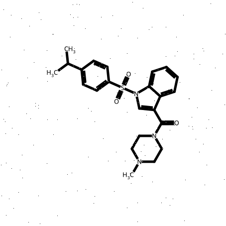 CC(C)c1ccc(S(=O)(=O)n2cc(C(=O)N3CCN(C)CC3)c3ccccc32)cc1